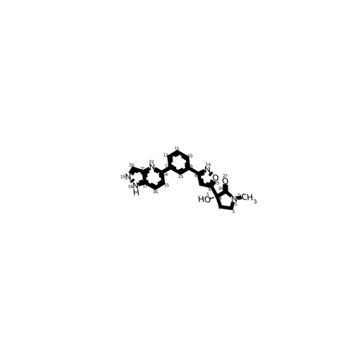 CN1CC[C@@](O)(c2cc(-c3cccc(-c4ccc5[nH]ncc5n4)c3)no2)C1=O